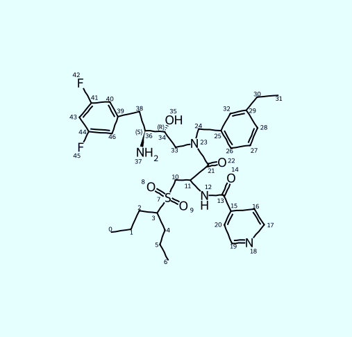 CCCC(CCC)S(=O)(=O)CC(NC(=O)c1ccncc1)C(=O)N(Cc1cccc(CC)c1)C[C@@H](O)[C@@H](N)Cc1cc(F)cc(F)c1